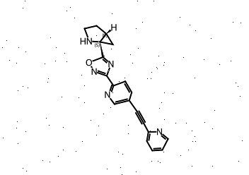 C(#Cc1ccccn1)c1ccc(-c2noc([C@]34C[C@H]3CCN4)n2)nc1